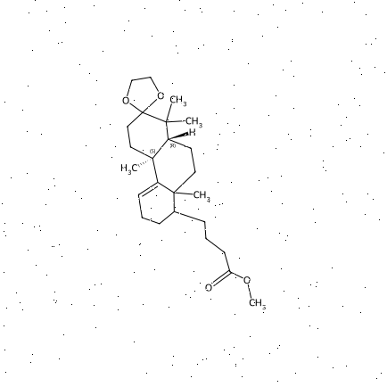 COC(=O)CCCC1CCC=C2C1(C)CC[C@H]1C(C)(C)C3(CC[C@]21C)OCCO3